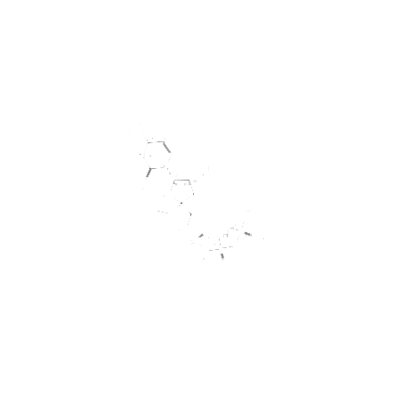 CO[C@@]1(COP(=O)(O)OP(=O)(O)OP(=O)(O)O)C[C@@H](O)[C@H](N2C=CC(O)NC2=O)O1